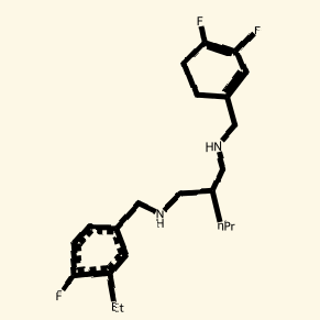 CCCC(CNCC1=CC(F)=C(F)CC1)CNCc1ccc(F)c(CC)c1